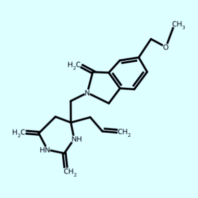 C=CCC1(CN2Cc3ccc(COC)cc3C2=C)CC(=C)NC(=C)N1